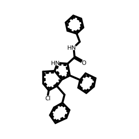 O=C(NCc1ccccc1)c1[nH]c2ccc(Cl)c(Cc3ccccc3)c2c1-c1ccccc1